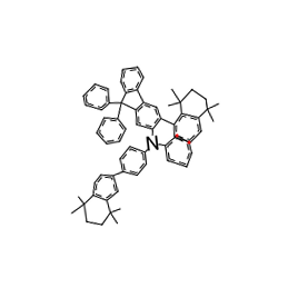 CC1(C)CCC(C)(C)c2cc(-c3ccc(N(c4ccccc4)c4cc5c(cc4-c4cccc6c4C(C)(C)CCC6(C)C)-c4ccccc4C5(c4ccccc4)c4ccccc4)cc3)ccc21